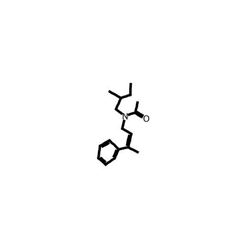 CCC(C)CN(C/C=C(/C)c1ccccc1)C(C)=O